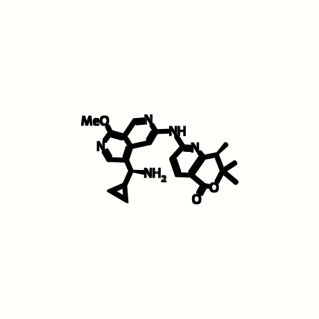 COc1ncc([C@@H](N)C2CC2)c2cc(Nc3ccc4c(n3)[C@@H](C)C(C)(C)OC4=O)ncc12